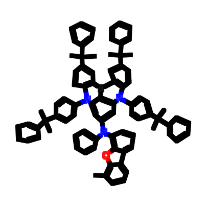 Cc1cccc2c1oc1c(N(c3ccccc3)c3cc4c5c(c3)N(c3ccc(C(C)(C)c6ccccc6)cc3)c3ccc(C(C)(C)c6ccccc6)cc3B5c3cc(C(C)(C)c5ccccc5)ccc3N4c3ccc(C(C)(C)c4ccccc4)cc3)cccc12